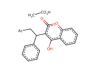 CC(=O)CC(c1ccccc1)c1c(O)c2ccccc2oc1=O.CC(=O)O